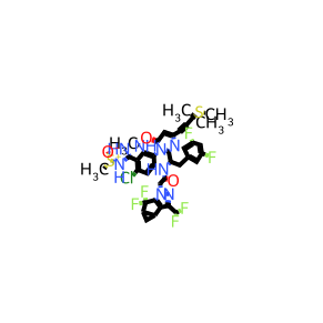 CNc1c(-n2c(C(Cc3cc(F)cc(F)c3)NC(=O)Cn3nc(C(F)F)c4c3C(F)(F)C3CC43)nc(C#CC(C)(C)SC)cc2=O)ccc(Cl)c1C(=N)N[S+](C)[O-]